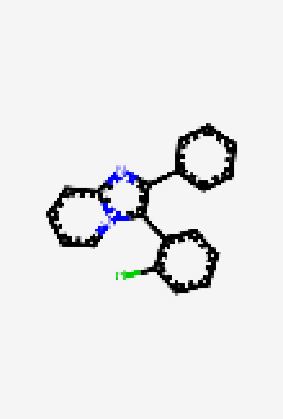 Clc1ccccc1-c1c(-c2ccccc2)nc2ccccn12